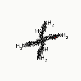 NCCN1CCN(CC(O)COc2ccc(C(c3ccc(OCC(O)CN4CCN(CCN)CC4)cc3)C(c3ccc(OCC(O)CN4CCN(CCN)CC4)cc3)c3ccc(OCC(O)CN4CCN(CCN)CC4)cc3)cc2)CC1